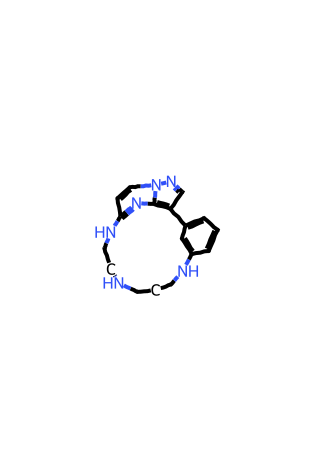 c1cc2cc(c1)-c1cnn3ccc(nc13)NCCNCCCN2